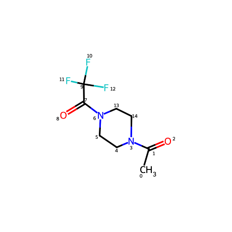 CC(=O)N1CCN(C(=O)C(F)(F)F)CC1